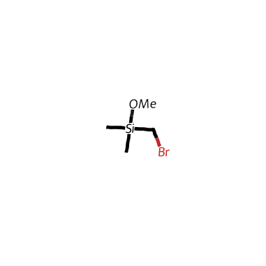 CO[Si](C)(C)CBr